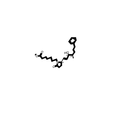 COC(=O)CCCCCCN1C(=O)CC[C@@H]1C=C[C@@H](O)[C@H](C)CCCc1ccccc1